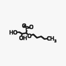 CCCCCOC(C(O)CO)P(=O)=O